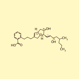 CCCC(C)C[C@H](O)/C=C/[C@H]1[C@H]2CC(CCCc3ccccc3C(=O)O)=C[C@H]2C[C@H]1O